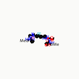 COCN[C@@H](C(=O)N1CCCC1c1ncc(-c2ccc3c(c2)C(F)(F)c2cc(-c4ccc5nc([C@@H]6CC7(CN6C(=O)[C@@H](NC(=O)OC)C6CCOCC6)OCCO7)[nH]c5c4)ccc2-3)[nH]1)c1ccccc1